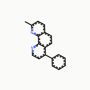 Cc1ccc2ccc3c(-c4ccccc4)ccnc3c2n1